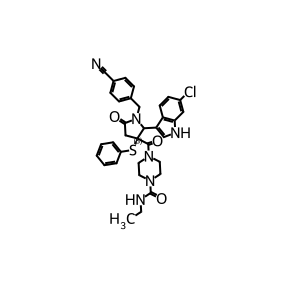 CCNC(=O)N1CCN(C(=O)[C@]2(Sc3ccccc3)CC(=O)N(Cc3ccc(C#N)cc3)C2c2c[nH]c3cc(Cl)ccc23)CC1